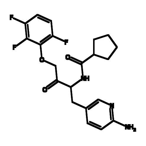 Nc1ccc(CC(NC(=O)C2CCCC2)C(=O)COc2c(F)ccc(F)c2F)cn1